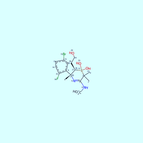 CC1(C)C(NC(=O)O)=N[C@](C)(c2cc(Br)ccc2F)[C@@H](CCO)S1(O)O